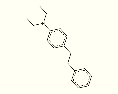 CCN(CC)c1ccc(CCc2ccccc2)cc1